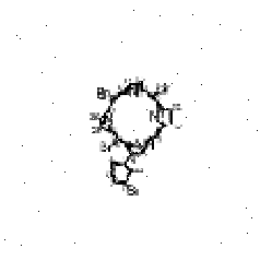 Brc1cccc(-c2cc3cc4nc(c(Br)c5ccc([nH]5)c(Br)c5nc(c(Br)c2[nH]3)C=C5)C=C4)c1